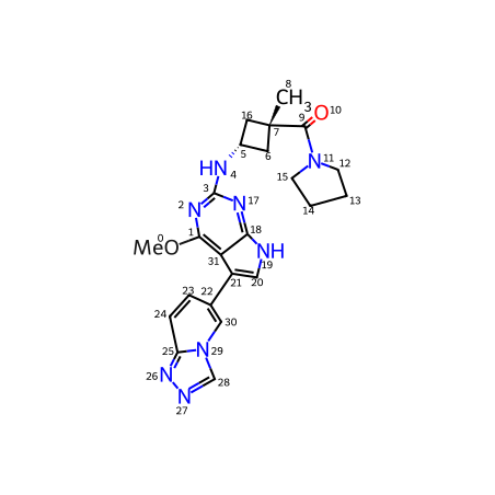 COc1nc(N[C@H]2C[C@@](C)(C(=O)N3CCCC3)C2)nc2[nH]cc(-c3ccc4nncn4c3)c12